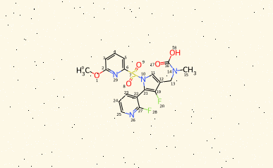 COc1cccc(S(=O)(=O)n2cc(CN(C)C(=O)O)c(F)c2-c2cccnc2F)n1